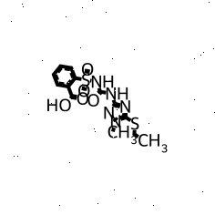 CCSc1nc(NC(=O)NS(=O)(=O)c2ccccc2C(=O)O)nn1C